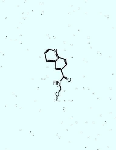 COCNC(=O)c1ccc2ncccc2c1